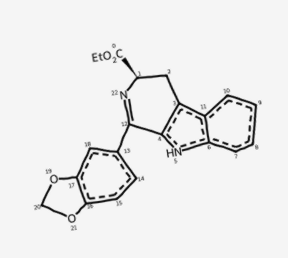 CCOC(=O)[C@H]1Cc2c([nH]c3ccccc23)C(c2ccc3c(c2)OCO3)=N1